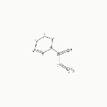 C=CC(=O)C1C=CCCC1